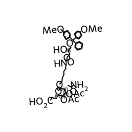 COc1ccc(C(OC[C@H](O)COC(=O)NCCCCCO[C@@H]2O[C@H]([CH]CC(=O)O)[C@@H](OC(C)=O)[C@H](OC(C)=O)[C@H]2CC(N)=O)(c2ccccc2)c2ccc(OC)cc2)cc1